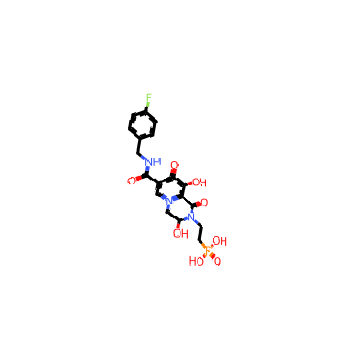 O=C(NCc1ccc(F)cc1)c1cn2c(c(O)c1=O)C(=O)N(CCP(=O)(O)O)C(O)C2